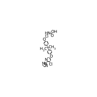 CC(C)(c1ccc(Oc2cnc(-n3nccn3)c(Cl)c2)cc1)c1ccc(OC2CC(NC(=O)O)C2)cc1